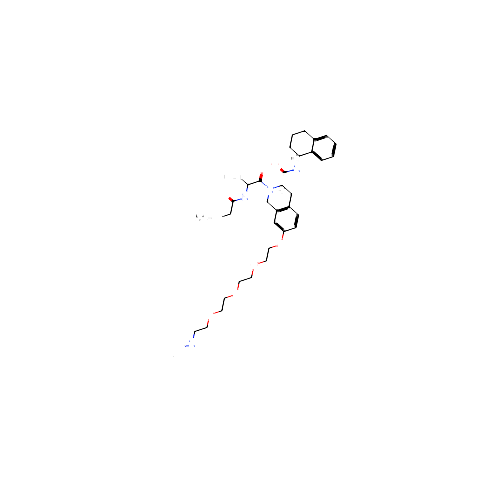 COCC(=O)NC(C(=O)N1Cc2cc(OCCOCCOCCOCCNC(=O)O)ccc2C[C@H]1C(=O)N[C@@H]1CCCc2ccccc21)C(C)(C)C